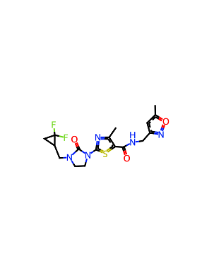 Cc1cc(CNC(=O)c2sc(N3CCN(CC4CC4(F)F)C3=O)nc2C)no1